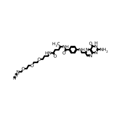 C[C@H](CCC(=O)NCCCOCCOCCOCN=[N+]=[N-])NC(=O)c1ccc(NCc2cnc3nc(N)[nH]c(=O)c3n2)cc1